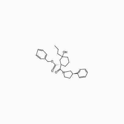 CCCC1(O)CCC[C@@](C(=O)OCc2ccccc2)(C(=O)N2CC[C@H](c3ccccc3)C2)C1